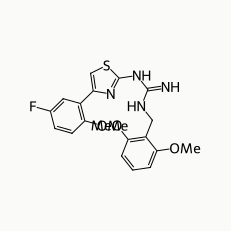 COc1ccc(F)cc1-c1csc(NC(=N)NCc2c(OC)cccc2OC)n1